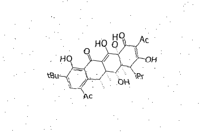 CC(=O)C1=C(O)C(C(C)C)[C@@]2(C)[C@H](O)[C@]3(C)C(=C(O)[C@@]2(O)C1=O)C(=O)c1c(O)c(C(C)(C)C)cc(C(C)=O)c1[C@H]3C